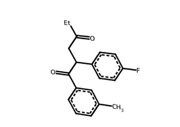 CCC(=O)CC(C(=O)c1cccc(C)c1)c1ccc(F)cc1